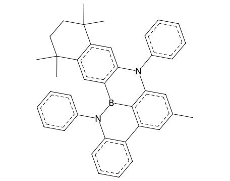 Cc1cc2c3c(c1)N(c1ccccc1)c1cc4c(cc1B3N(c1ccccc1)c1ccccc1-2)C(C)(C)CCC4(C)C